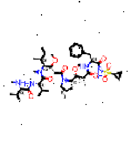 CC[C@H](C)[C@@H]([C@@H](CC(=O)N1C[C@H](C)C[C@H]1[C@H](OC)[C@@H](C)C(=O)N[C@@H](Cc1ccccc1)C(=O)NS(=O)(=O)C1CC1)OC)N(C)C(=O)[C@@H](NC(=O)[C@@H](NC)C(C)C)C(C)C